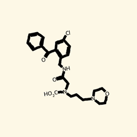 O=C(CN(CCCN1CCOCC1)C(=O)O)NCc1ccc(Cl)cc1C(=O)c1ccccc1